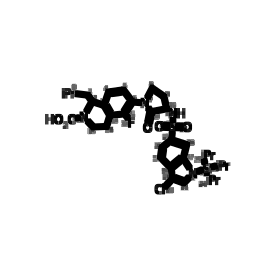 CC(C)CC1c2ccc(N3CC[C@H](NS(=O)(=O)c4ccc5c(Cl)cn([Si](C(C)C)(C(C)C)C(C)C)c5c4)C3=O)c(F)c2CCN1C(=O)O